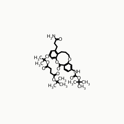 CC(C)(C)OC(=O)CCC(=O)OC(C)(C)C.CC(C)(C)OC(=O)Nc1ccc2c(c1)OCCCc1c(CCC(N)=O)cccc1OC2=O